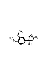 BC(CC)(CC)c1ccc(OC)c(OC)c1